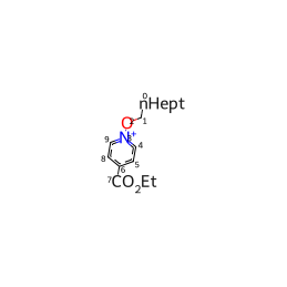 CCCCCCCCO[n+]1ccc(C(=O)OCC)cc1